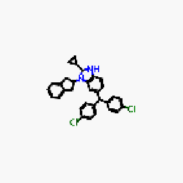 Clc1ccc(C(c2ccc(Cl)cc2)c2ccc3c(c2)N(C2Cc4ccccc4C2)C(C2CC2)N3)cc1